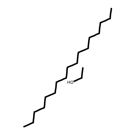 CCCCCCCCCCCCCCCCC.CCO